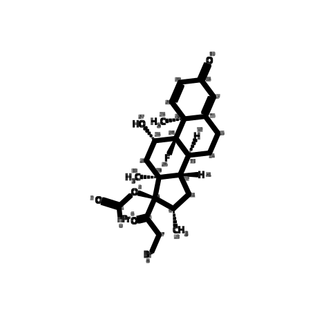 CCCC(=O)O[C@]1(C(=O)CBr)[C@@H](C)C[C@H]2[C@@H]3CCC4=CC(=O)C=C[C@]4(C)[C@@]3(F)[C@@H](O)C[C@@]21C